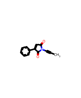 CC#CN1C(=O)C=C(c2ccccc2)C1=O